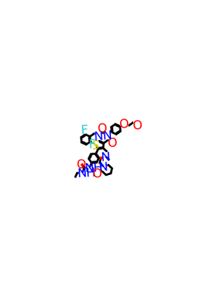 CCNC(=O)Nc1ccc(-c2sc3c(c2CN(C)CCN2CCCCC2=O)c(=O)n(-c2ccc(OCCOC)cc2)c(=O)n3Cc2c(F)cccc2F)cc1